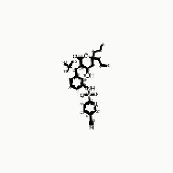 CCCC1(CCC)CC(O)=C([C@H](c2cccc(NS(=O)(=O)c3ccc(C#N)cn3)c2)C(C)(C)C)C(=O)O1